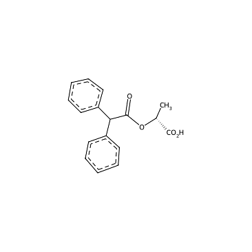 C[C@@H](OC(=O)C(c1ccccc1)c1ccccc1)C(=O)O